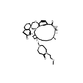 COCCN1CCN(C[C@H]2CCC[C@H](C)[C@@H](C)S(=O)(=O)NC(=O)c3ccc4c(c3)N(C[C@@H]3CC[C@@H]23)C[C@@]2(CCCc3cc(Cl)ccc32)CO4)CCC1=O